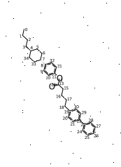 CCCC[C@H]1CC[C@H](c2ccc(OC(=O)CCCCc3ccc(-c4ccccc4)cc3)cc2)CC1